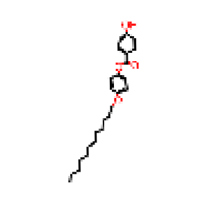 CCCCCCCCCCCCOc1ccc(OC(=O)c2ccc(O)cc2)cc1